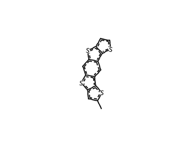 Cc1cc2sc3cc4sc5ccsc5c4cc3c2s1